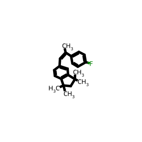 CC(=Cc1ccc2c(c1)C(C)(C)CC2(C)C)c1ccc(F)cc1